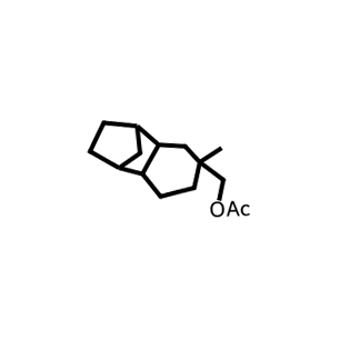 CC(=O)OCC1(C)CCC2C3CCC(C3)C2C1